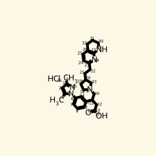 Cc1cc(C)n(-c2cccc(C(CC(=O)O)CN3CCC(CCc4ccc5c(n4)NCCC5)C3)c2)n1.Cl